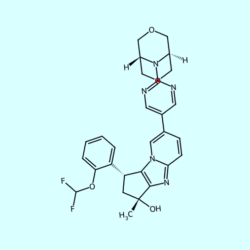 C[C@@]1(O)C[C@H](c2ccccc2OC(F)F)c2c1nc1ccc(-c3cnc(N4[C@H]5COC[C@H]4COC5)nc3)cn21